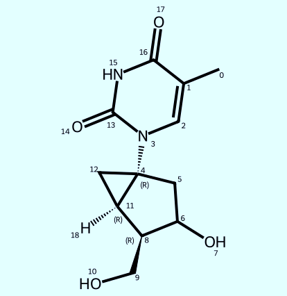 Cc1cn([C@]23CC(O)[C@@H](CO)[C@H]2C3)c(=O)[nH]c1=O